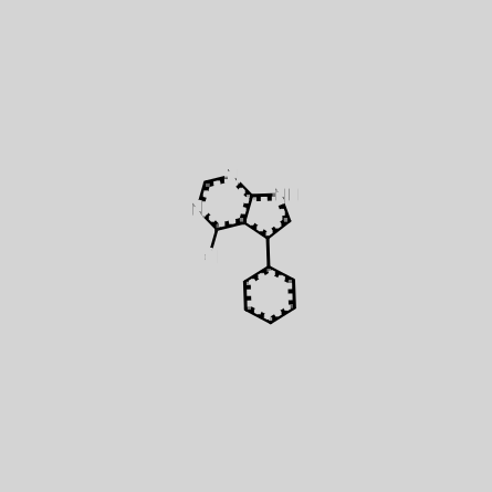 Clc1ncnc2[nH]cc(-c3ccccc3)c12